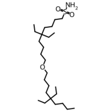 CCCCC(CC)(CC)CCCCOCCCCC(CC)(CC)CCCCS(N)(=O)=O